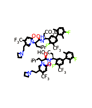 CCOC(=O)C[C@H](NC(=O)C(CC(C)C)n1cc(CCN2CCC2)c(C(F)(F)F)cc1=O)c1cc(-c2c(C)ccc(F)c2C)cc(C(F)(F)F)c1F.Cc1ccc(F)c(C)c1-c1cc([C@H](CC(=O)O)NC(=O)C(CC(C)C)n2cc(CCN3CCC3)c(C(F)(F)F)cc2=O)c(F)c(C(F)(F)F)c1